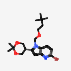 CC1(C)OCC(c2cc3nc(Br)ccc3n2COCC[Si](C)(C)C)CO1